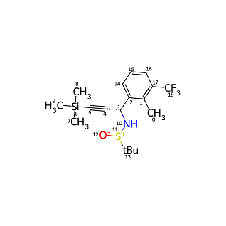 Cc1c([C@@H](C#C[Si](C)(C)C)N[S+]([O-])C(C)(C)C)cccc1C(F)(F)F